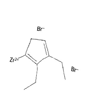 CCC1=CC[C]([Zr+2])=C1CC.[Br-].[Br-]